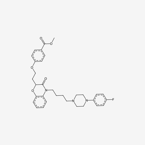 COC(=O)c1ccc(OCCC2Oc3ccccc3N(CCCCN3CCN(c4ccc(F)cc4)CC3)C2=O)cc1